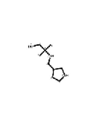 CC(C)(CO)NCC1CCNC1